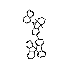 CC12CCCCC1(C)N(c1cccc3ccccc13)c1ccc(-c3ccc4c(c3)C3(c5ccccc5-c5ccccc53)c3ccccc3-4)cc12